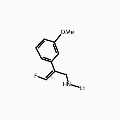 CCNC/C(=C/F)c1cccc(OC)c1